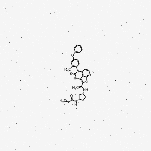 C=CC(=O)N[C@H]1CC[C@@H](NC(=C)c2sc3nccc4c3c2NC(=O)N4c2ccc(Oc3ccccc3)cc2C)C1